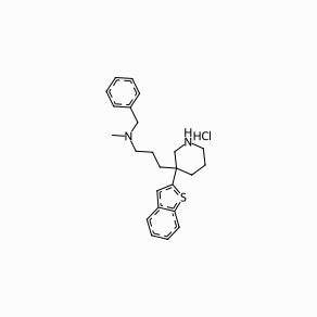 CN(CCCC1(c2cc3ccccc3s2)CCCNC1)Cc1ccccc1.Cl